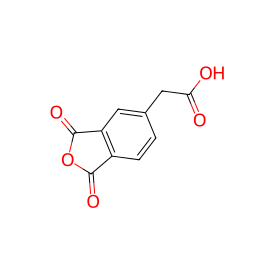 O=C(O)Cc1ccc2c(c1)C(=O)OC2=O